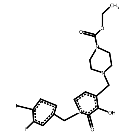 CCOC(=O)N1CCN(Cc2ccn(Cc3ccc(I)c(I)c3)c(=O)c2O)CC1